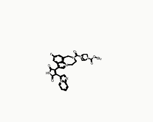 CC(C)(C)OC(=O)N1CC2CC1CN2C(=O)N1CCn2cc(C3=C(c4cnc5ccccn45)C(=O)NC3=O)c3cc(F)cc(c32)C1